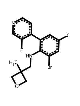 CC1(CNc2c(Br)cc(Cl)cc2-c2ccncc2F)COC1